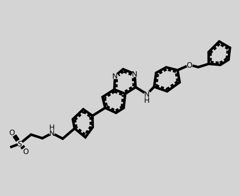 CS(=O)(=O)CCNCc1ccc(-c2ccc3c(Nc4ccc(OCc5ccccc5)cc4)ncnc3c2)cc1